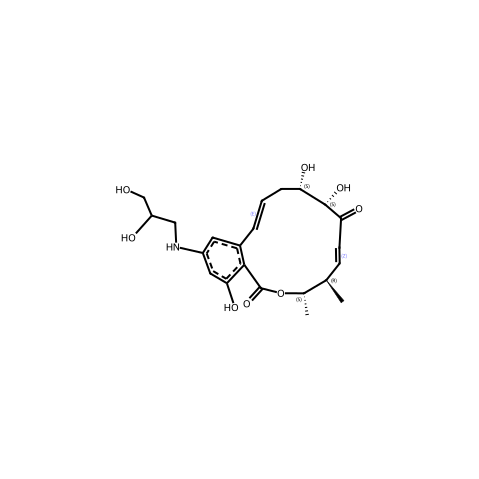 C[C@@H]1/C=C\C(=O)[C@@H](O)[C@@H](O)C/C=C/c2cc(NCC(O)CO)cc(O)c2C(=O)O[C@H]1C